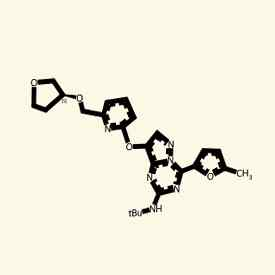 Cc1ccc(-c2nc(NC(C)(C)C)nc3c(Oc4cccc(CO[C@H]5CCOC5)n4)cnn23)o1